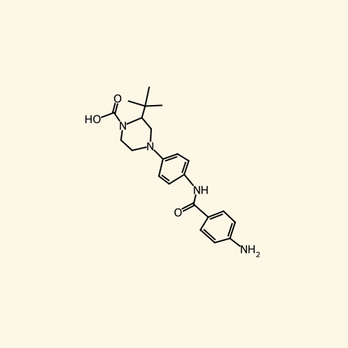 CC(C)(C)C1CN(c2ccc(NC(=O)c3ccc(N)cc3)cc2)CCN1C(=O)O